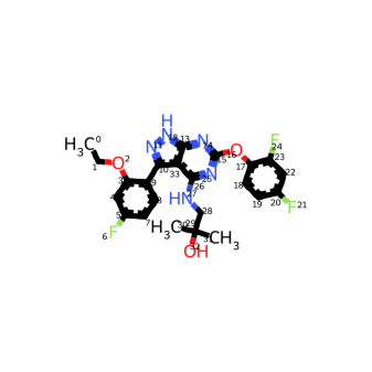 CCOc1cc(F)ccc1-c1n[nH]c2nc(Oc3ccc(F)cc3F)nc(NCC(C)(C)O)c12